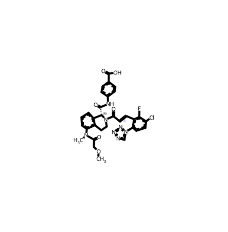 COCC(=O)N(C)c1cccc2c1CCN(C(=O)/C=C/c1c(-n3cnnn3)ccc(Cl)c1F)[C@H]2C(=O)Nc1ccc(C(=O)O)cc1